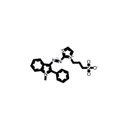 Cn1c(-c2ccccc2)c(/N=N/c2scc[n+]2CCCS(=O)(=O)[O-])c2ccccc21